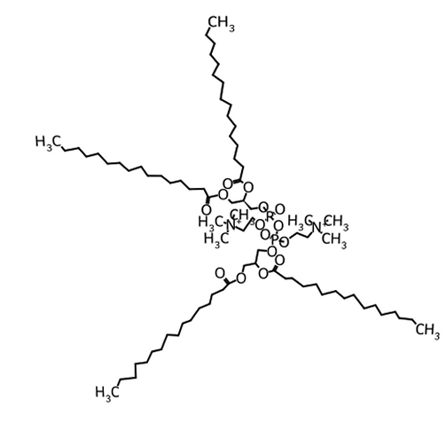 CCCCCCCCCCCCCCCC(=O)OCC(COP(=O)(OCC[N+](C)(C)C)OP(=O)(OCC[N+](C)(C)C)OC[C@@H](COC(=O)CCCCCCCCCCCCCCC)OC(=O)CCCCCCCCCCCCCCC)OC(=O)CCCCCCCCCCCCCCC